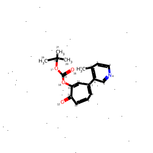 Cc1ccncc1-c1cccc(=O)c(OC(=O)OC(C)(C)C)c1